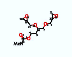 CNC(=O)OCCC(COCC1CO1)OCC1CO1